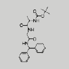 CC(NC(=O)OC(C)(C)C)C(=O)NCC(=O)NC(c1ccccc1)c1ccccc1